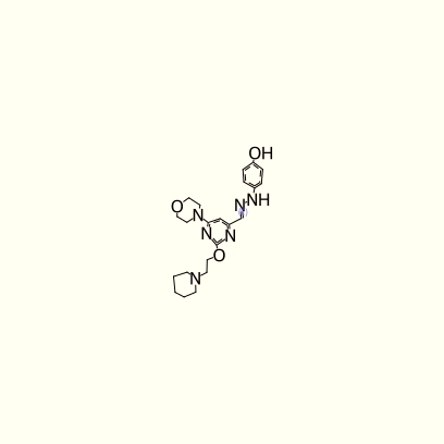 Oc1ccc(N/N=C/c2cc(N3CCOCC3)nc(OCCN3CCCCC3)n2)cc1